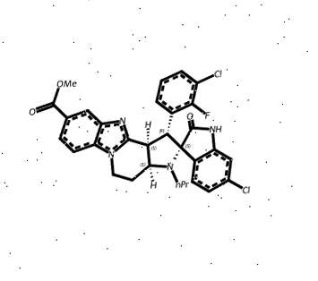 CCCN1[C@H]2CCn3c(nc4cc(C(=O)OC)ccc43)[C@H]2[C@H](c2cccc(Cl)c2F)[C@]12C(=O)Nc1cc(Cl)ccc12